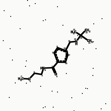 COCCNC(=O)c1ccc(CNC(C)(C)C)cc1